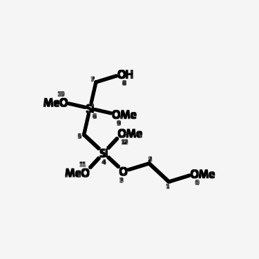 COCCO[Si](C[Si](CO)(OC)OC)(OC)OC